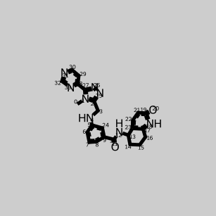 Cn1c(CNc2cccc(C(=O)NC3CCCc4[nH]c(=O)ccc43)c2)nnc1-c1ccncn1